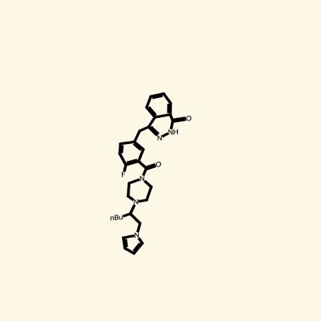 CCCCC(Cn1cccc1)N1CCN(C(=O)c2cc(Cc3n[nH]c(=O)c4ccccc34)ccc2F)CC1